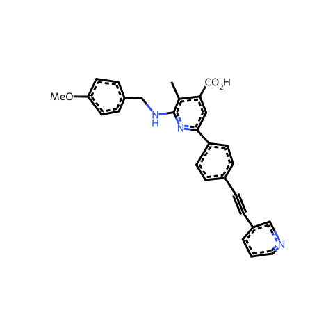 COc1ccc(CNc2nc(-c3ccc(C#Cc4cccnc4)cc3)cc(C(=O)O)c2C)cc1